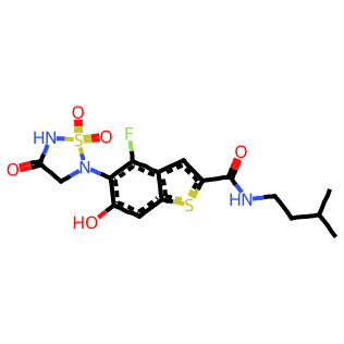 CC(C)CCNC(=O)c1cc2c(F)c(N3CC(=O)NS3(=O)=O)c(O)cc2s1